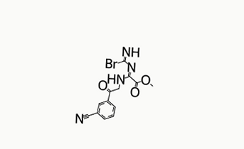 COC(=O)/C(=N/C(=N)Br)NCC(=O)c1cccc(C#N)c1